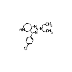 CCN(CC)c1nc2c(c(-c3ccc(Cl)cc3)n1)CNCCC2